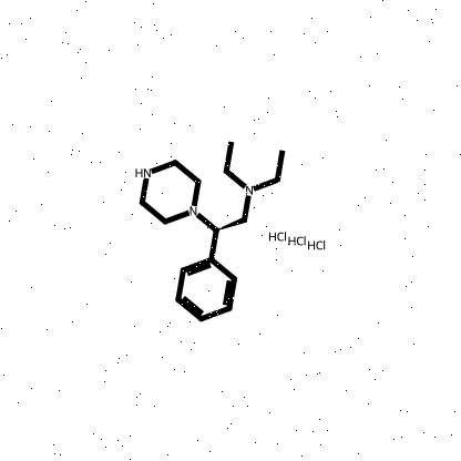 CCN(CC)C[C@@H](c1ccccc1)N1CCNCC1.Cl.Cl.Cl